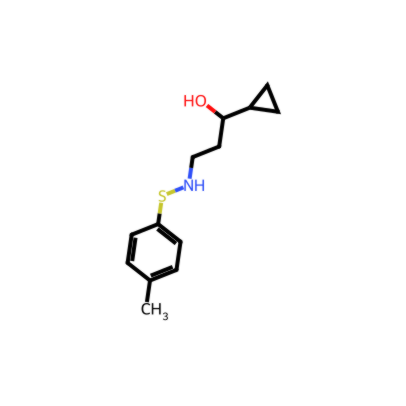 Cc1ccc(SNCCC(O)C2CC2)cc1